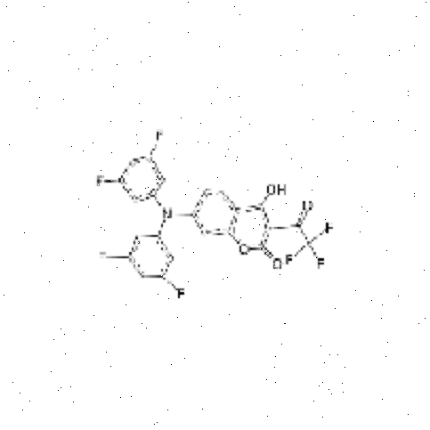 O=C(c1c(O)c2ccc(N(c3cc(F)cc(F)c3)c3cc(F)cc(F)c3)cc2oc1=O)C(F)(F)F